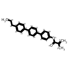 C=C(C)C(=O)Oc1ccc(-c2ccc(-c3ccc(CCC)cc3)cc2)cc1